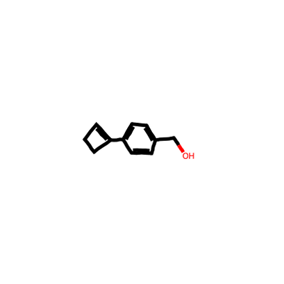 OCc1ccc(C2=CCC2)cc1